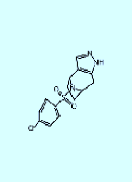 O=S(=O)(c1ccc(Cl)cc1)N1C2CCC1c1cn[nH]c1C2